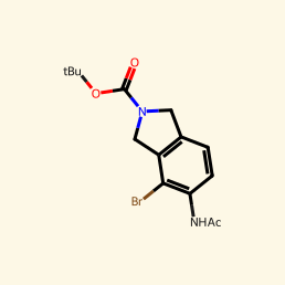 CC(=O)Nc1ccc2c(c1Br)CN(C(=O)OC(C)(C)C)C2